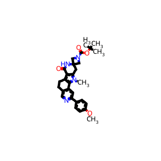 COc1ccc(-c2cc3c(cn2)CCc2c4c(n(C)c2-3)CC2(CN(C(=O)OC(C)(C)C)C2)NC4=O)cc1